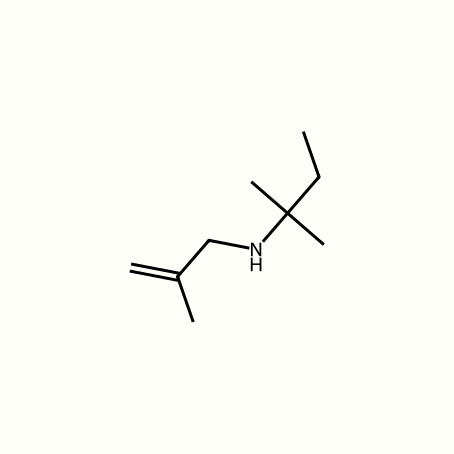 C=C(C)CNC(C)(C)CC